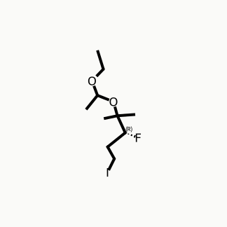 CCOC(C)OC(C)(C)[C@H](F)CCI